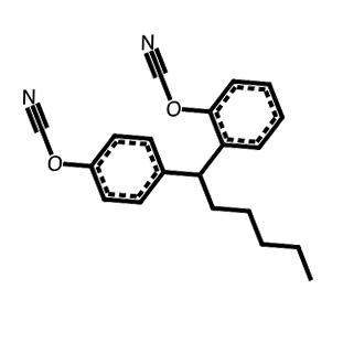 CCCCCC(c1ccc(OC#N)cc1)c1ccccc1OC#N